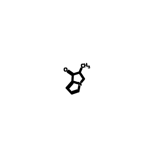 CC1Cn2cccc2C1=O